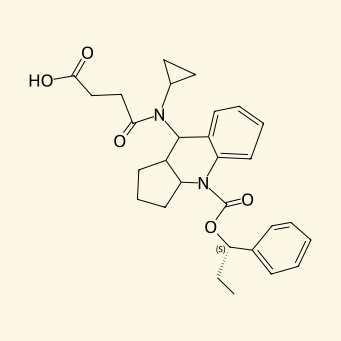 CC[C@H](OC(=O)N1c2ccccc2C(N(C(=O)CCC(=O)O)C2CC2)C2CCCC21)c1ccccc1